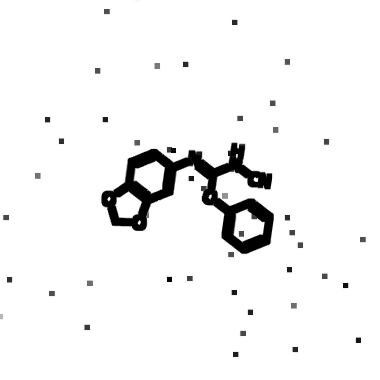 N#CNC(=Nc1ccc2c(c1)OCO2)Oc1ccccc1